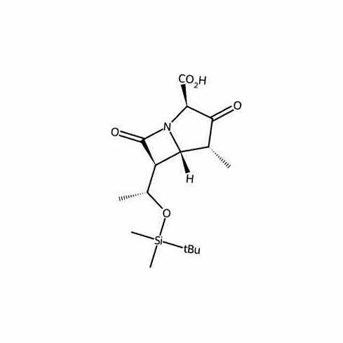 C[C@@H](O[Si](C)(C)C(C)(C)C)[C@H]1C(=O)N2[C@@H](C(=O)O)C(=O)[C@H](C)[C@H]12